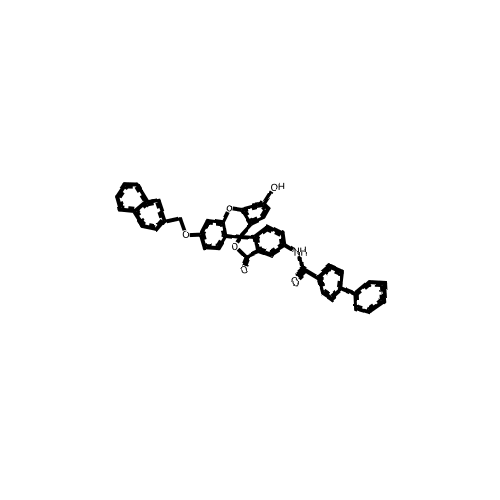 O=C(Nc1ccc2c(c1)C(=O)OC21c2ccc(O)cc2Oc2cc(OCc3ccc4ccccc4c3)ccc21)c1ccc(-c2ccccc2)cc1